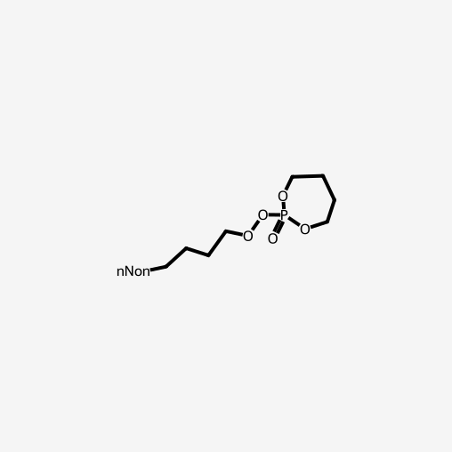 CCCCCCCCCCCCCOOP1(=O)OCCCCO1